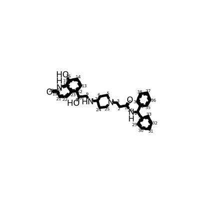 O=C(CCN1CCC(NC[C@@H](O)c2ccc(O)c3[nH]c(=O)ccc23)CC1)NC(c1ccccc1)c1ccccc1